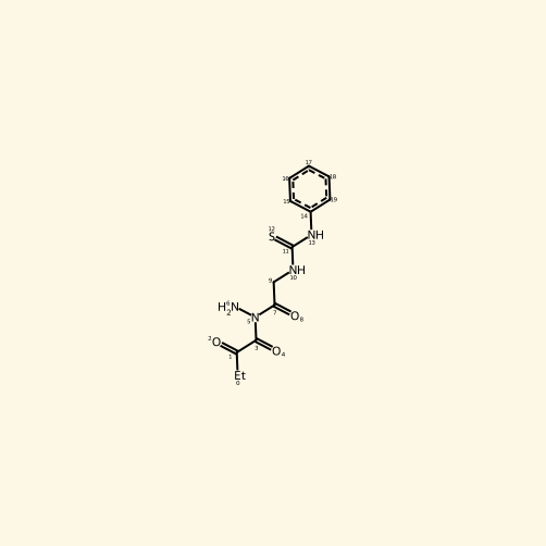 CCC(=O)C(=O)N(N)C(=O)CNC(=S)Nc1cc[c]cc1